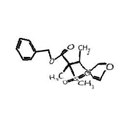 CC(N1C=COC1)C(C)(C(=O)OCc1ccccc1)S(C)(=O)=O